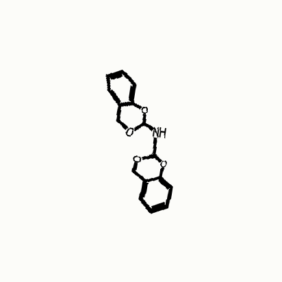 c1ccc2c(c1)COC(NC1OCc3ccccc3O1)O2